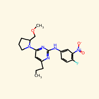 CCCc1cc(N2CCCC2COC)nc(Nc2ccc(F)c([N+](=O)[O-])c2)n1